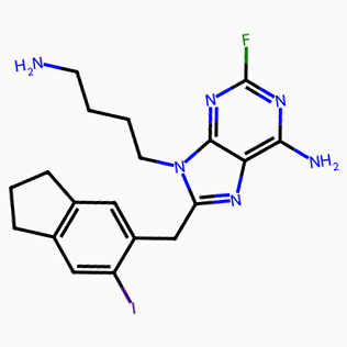 NCCCCn1c(Cc2cc3c(cc2I)CCC3)nc2c(N)nc(F)nc21